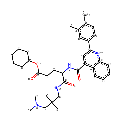 COc1ccc(-c2cc(C(=O)NC(CCC(=O)OC3CCCCC3)C(=O)NCC(C)(C)CN(C)C)c3ccccc3n2)cc1C